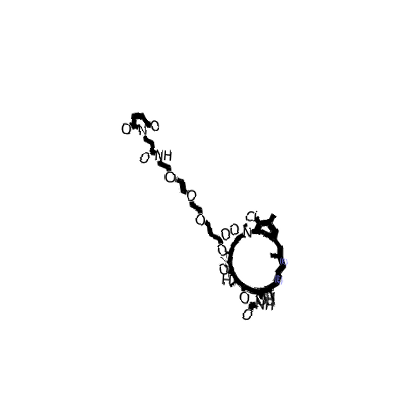 C/C1=C\C=C\[C@@H](C)[C@@]2(O)CC(OC(=O)N2)[C@@H](C)[C@@H]2O[C@@]2(C)[C@@H](OC(=O)CCOCCOCCOCCNC(=O)CCN2C(=O)C=CC2=O)CC(=O)N(C)c2cc(cc(C)c2Cl)C1